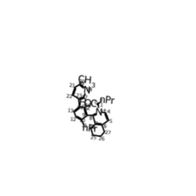 C=C(CCC)[n+]1ccc2c(c1-c1c(CCC)ccc3c1oc1nc(C)ccc13)CCCC2